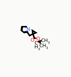 CC(C)(C)OC(=O)C1(Cc2ccccn2)CC1